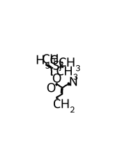 C=CC=C(C#N)C(=O)OCC(=CC)[Si](C)(C)C